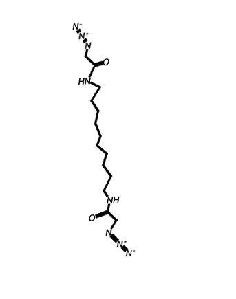 [N-]=[N+]=NCC(=O)NCCCCCCCCCCNC(=O)CN=[N+]=[N-]